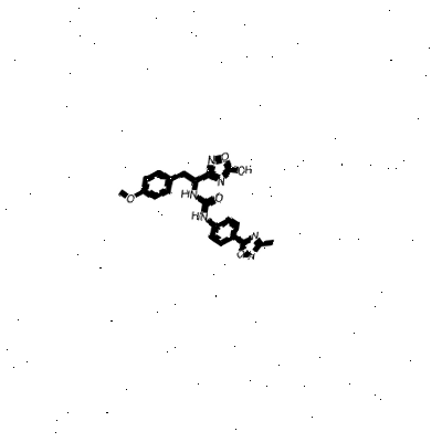 COc1ccc(CC(NC(=O)Nc2ccc(-c3nc(C)no3)cc2)c2noc(O)n2)cc1